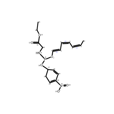 C\C=C/C=C\C=C\OP(NCC(=O)OCC)OC1C=CC([N+](=O)[O-])=CC1